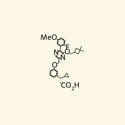 COc1ccc(F)c(-c2ncc(COc3cccc([C@@H](CC(=O)O)C4CC4)c3)nc2OCC2CC(C)(C)C2)c1